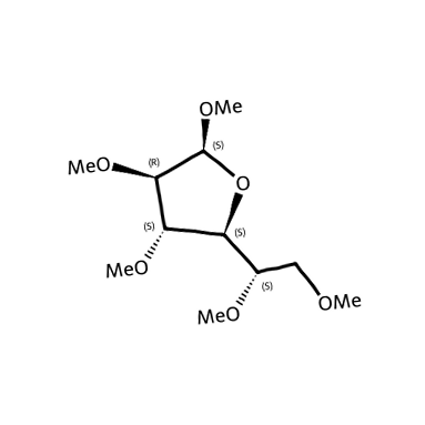 COC[C@H](OC)[C@@H]1O[C@H](OC)[C@H](OC)[C@H]1OC